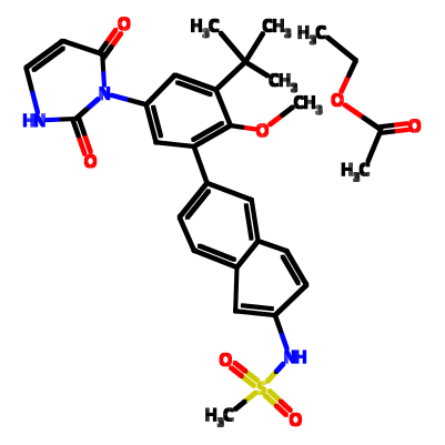 CCOC(C)=O.COc1c(-c2ccc3cc(NS(C)(=O)=O)ccc3c2)cc(-n2c(=O)cc[nH]c2=O)cc1C(C)(C)C